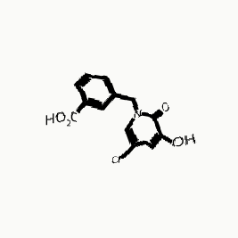 O=C(O)c1cccc(Cn2cc(Cl)cc(O)c2=O)c1